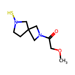 COCC(=O)N1CC2(CCN(S)C2)C1